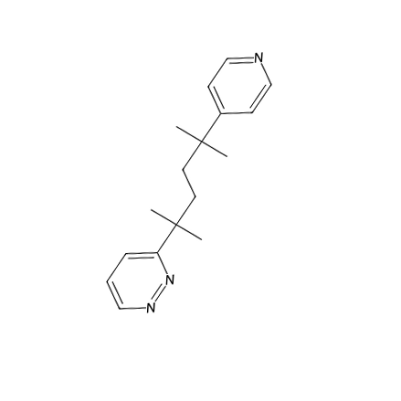 CC(C)(CCC(C)(C)c1cccnn1)c1ccncc1